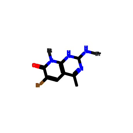 CCn1c2c(cc(Br)c1=O)C(C)=NC(NC(C)C)N2